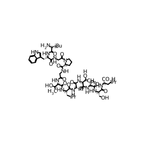 CC[C@H](C)[C@H](N)C(=O)N[C@@H](Cc1c[nH]c2ccccc12)C(=O)NCC(=O)N1CCC[C@H]1C(=O)NCC(=O)N[C@H](C(=O)N[C@@H](CC(C)C)C(=O)N[C@H](C(=O)N[C@H](C(=O)N[C@H](C(=O)N[C@@H](CO)C(=O)N[C@@H](CC(C)C)C(=O)O)C(C)C)[C@@H](C)O)C(C)C)[C@@H](C)O